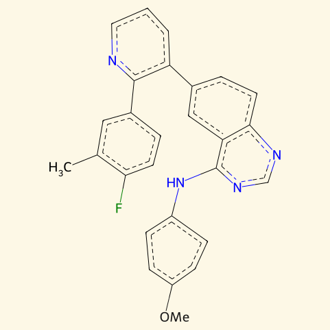 COc1ccc(Nc2ncnc3ccc(-c4cccnc4-c4ccc(F)c(C)c4)cc23)cc1